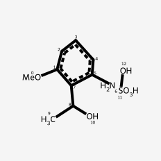 COc1cccc(N)c1C(C)O.O=S(=O)(O)O